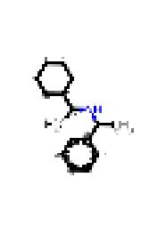 CC(NC(C)C1CCCCC1)c1ccccc1